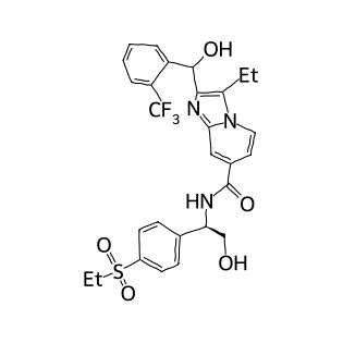 CCc1c(C(O)c2ccccc2C(F)(F)F)nc2cc(C(=O)N[C@@H](CO)c3ccc(S(=O)(=O)CC)cc3)ccn12